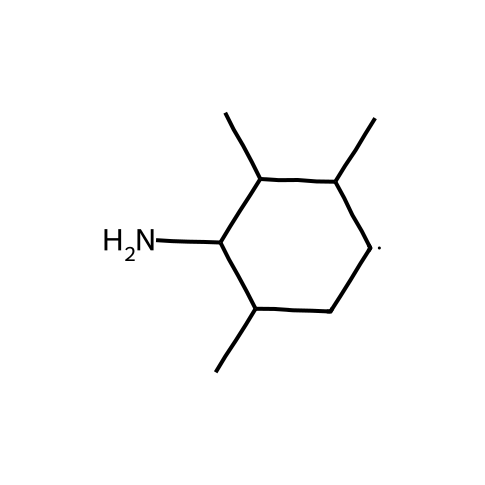 CC1[CH]CC(C)C(N)C1C